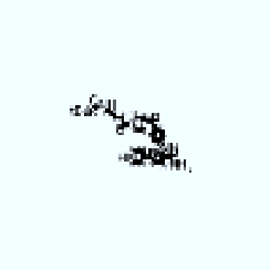 CC(C)(C)OC(=O)NCCCCC(=O)N1CCN(C(=O)c2ccc(Nc3nc(C4CCNCC4)ccc3C(N)=O)cc2)CC1